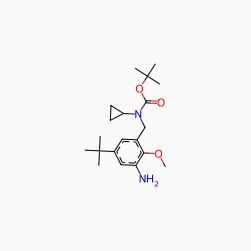 COc1c(N)cc(C(C)(C)C)cc1CN(C(=O)OC(C)(C)C)C1CC1